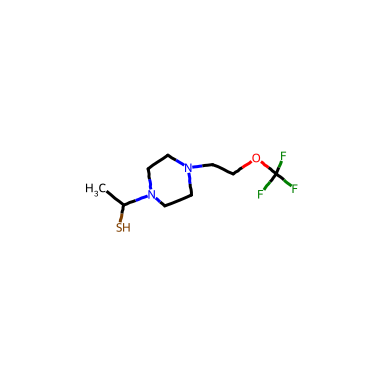 CC(S)N1CCN(CCOC(F)(F)F)CC1